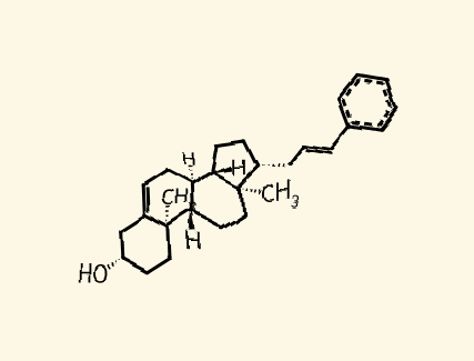 C[C@]12CC[C@H]3[C@@H](CC=C4C[C@@H](O)CC[C@@]43C)[C@@H]1CC[C@@H]2C/C=C/c1ccccc1